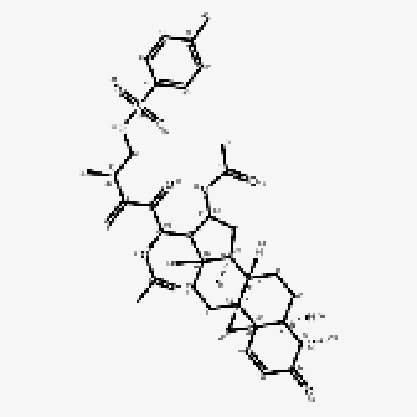 C=C(C(=O)[C@H](OC(C)=O)C1[C@@H](OC(C)=O)C[C@@]2(C)[C@@H]3CC[C@H]4[C@H](C)C(=O)C=C[C@@]45C[C@@]35CC[C@]12C)[C@@H](C)COS(=O)(=O)c1ccc(C)cc1